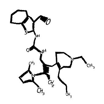 CCCC1=C(/C(CNC(=O)Nc2sc3c(c2C=O)CCCC3)=C(\C)n2c(C)ccc2C)CCN(CC)C1